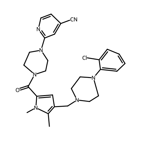 Cc1c(CN2CCN(c3ccccc3Cl)CC2)cc(C(=O)N2CCN(c3cc(C#N)ccn3)CC2)n1C